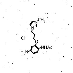 CC(=O)Nc1ccc(N)cc1OCCC[n+]1ccn(C)c1.[Cl-]